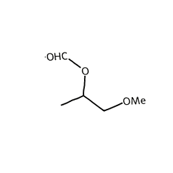 COCC(C)O[C]=O